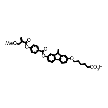 C=C(COC)C(=O)Oc1ccc(C(=O)Oc2ccc3c(c2)C(C)c2cc(OCCCCCC(=O)O)ccc2-3)cc1